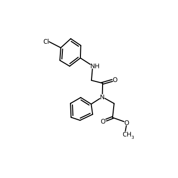 COC(=O)CN(C(=O)CNc1ccc(Cl)cc1)c1ccccc1